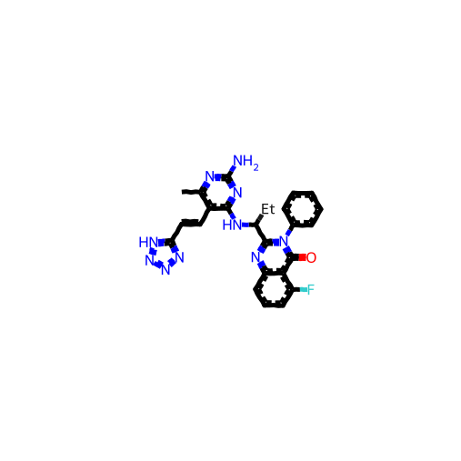 CCC(Nc1nc(N)nc(C)c1C=Cc1nnn[nH]1)c1nc2cccc(F)c2c(=O)n1-c1ccccc1